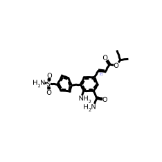 CC(C)OC(=O)/C=C/c1cc(C(N)=O)c(N)c(-c2ccc(S(N)(=O)=O)cc2)c1